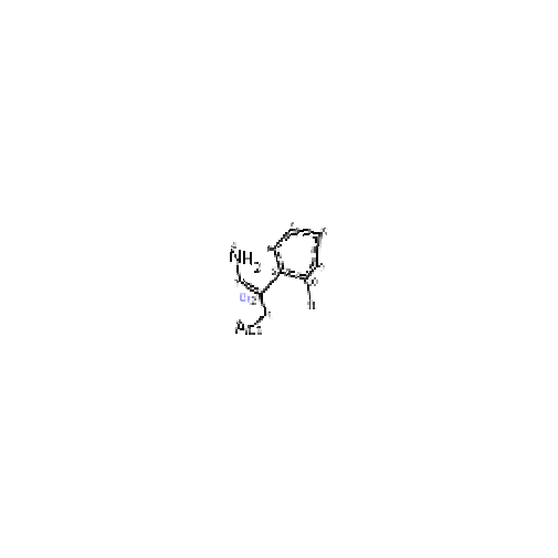 CC(=O)C/C(=C/N)c1ccccc1C